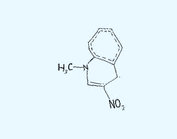 CN1C=C([N+](=O)[O-])[CH]c2ccccc21